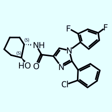 O=C(N[C@H]1CCCC[C@@H]1O)c1cn(-c2ccc(F)cc2F)c(-c2ccccc2Cl)n1